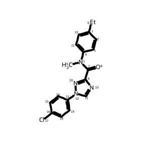 CCc1ccc(N(C)C(=O)c2ncn(-c3ccc(Cl)cc3)n2)cc1